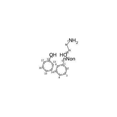 CCCCCCCCCc1ccccc1.NCCO.Oc1ccccc1